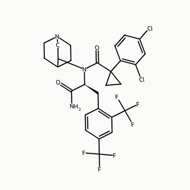 NC(=O)[C@H](Cc1ccc(C(F)(F)F)cc1C(F)(F)F)N(C(=O)C1(c2ccc(Cl)cc2Cl)CC1)C1CN2CCC1CC2